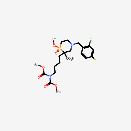 CCOP1(=O)CCN(Cc2ccc(F)cc2Cl)CC1(CCCCN(C(=O)OC(C)(C)C)C(=O)OC(C)(C)C)C(=O)O